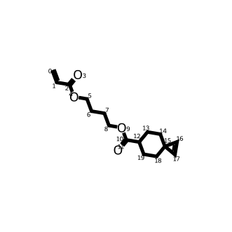 C=CC(=O)OCCCCOC(=O)C1CCC2(C=C2)CC1